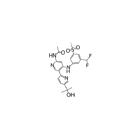 CC(=O)Nc1cc(Nc2cc(C(F)F)cc(S(C)(=O)=O)c2)c(-c2ccc(C(C)(C)O)cn2)cn1